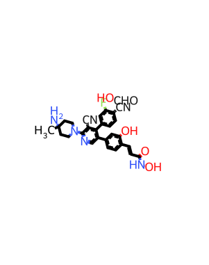 CC1(N)CCN(c2ncc(-c3ccc(/C=C/C(=O)NO)c(O)c3)c(-c3ccc(C#N)c(F)c3)c2C#N)CC1.O=CO